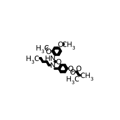 CCCCCN(Cc1ccc(OOC(=O)C(C)C)cc1)C(=O)Nc1ccc(OC)cc1OC